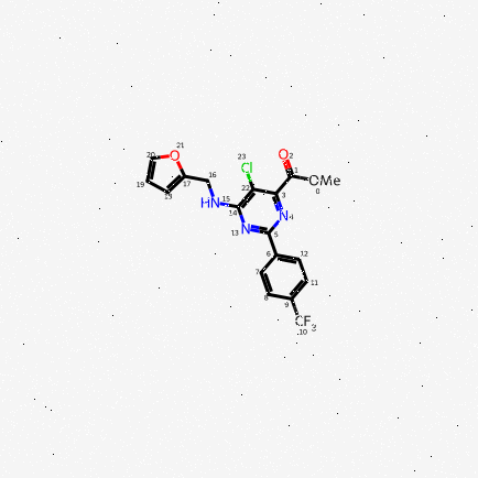 COC(=O)c1nc(-c2ccc(C(F)(F)F)cc2)nc(NCc2ccco2)c1Cl